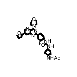 CC(=O)Nc1ccc(NC(=O)Nc2ccc(-c3nc(N4CCOCC4)c4ncc(-c5ccco5)cc4n3)cc2F)cc1